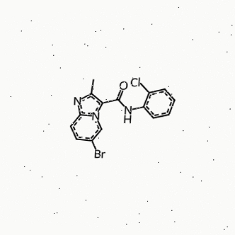 Cc1nc2ccc(Br)cn2c1C(=O)Nc1ccccc1Cl